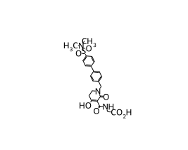 CN(C)S(=O)(=O)c1ccc(-c2ccc(CN3CCC(O)=C(C(=O)NCC(=O)O)C3=O)cc2)cc1